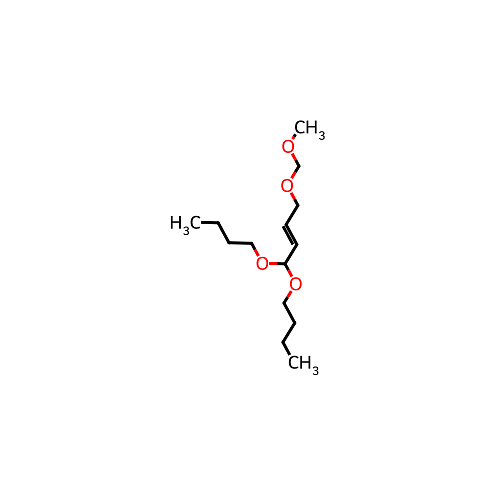 CCCCOC(C=CCOCOC)OCCCC